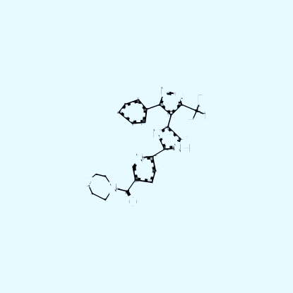 O=C(c1ccc(-c2nc(-c3c(-c4ccccc4)noc3C(F)(F)F)c[nH]2)nc1)N1CCOCC1